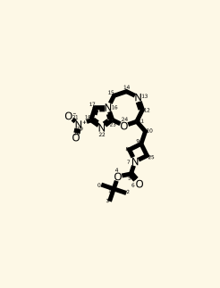 CC(C)(C)OC(=O)N1CC(CC2C=NCCn3cc([N+](=O)[O-])nc3O2)C1